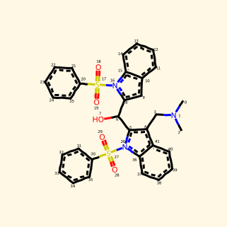 CN(C)Cc1c(C(O)c2cc3ccccc3n2S(=O)(=O)c2ccccc2)n(S(=O)(=O)c2ccccc2)c2ccccc12